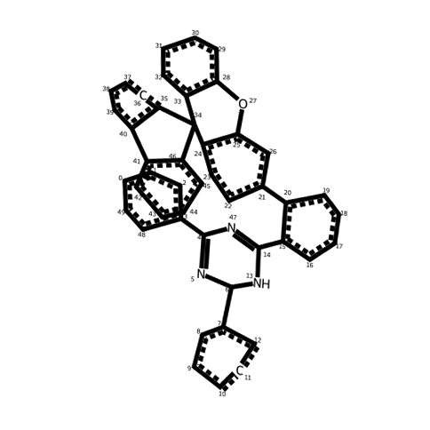 c1ccc(C2=NC(c3ccccc3)NC(c3ccccc3-c3ccc4c(c3)Oc3ccccc3C43c4ccccc4-c4ccccc43)=N2)cc1